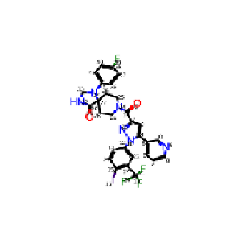 O=C(c1cc(-c2cccnc2)n(-c2ccc(I)c(C(F)(F)F)c2)n1)N1CCC2(CC1)C(=O)NCN2c1ccc(F)cc1